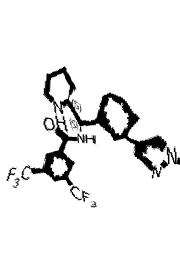 Cn1cc(-c2cccc([C@H](NC(=O)c3cc(C(F)(F)F)cc(C(F)(F)F)c3)[C@@H]3CCCCN3)c2)cn1